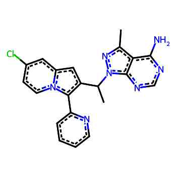 Cc1nn(C(C)c2cc3cc(Cl)ccn3c2-c2ccccn2)c2ncnc(N)c12